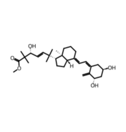 C=C1/C(=C\C=C2/CCC[C@]3(C)[C@@H](C(C)(C)/C=C/[C@@H](O)C(C)(C)C(=O)OC)CC[C@@H]23)C[C@@H](O)C[C@@H]1O